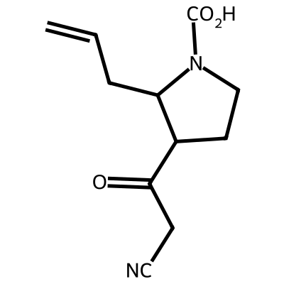 C=CCC1C(C(=O)CC#N)CCN1C(=O)O